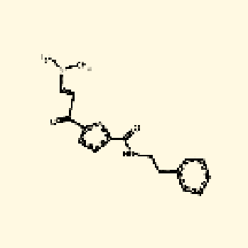 CN(C)C=CC(=O)c1ccc(C(=O)NCCc2ccccc2)s1